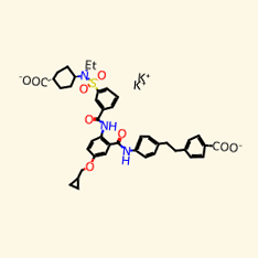 CCN([C@H]1CC[C@H](C(=O)[O-])CC1)S(=O)(=O)c1cccc(C(=O)Nc2ccc(OCC3CC3)cc2C(=O)Nc2ccc(CCc3ccc(C(=O)[O-])cc3)cc2)c1.[K+].[K+]